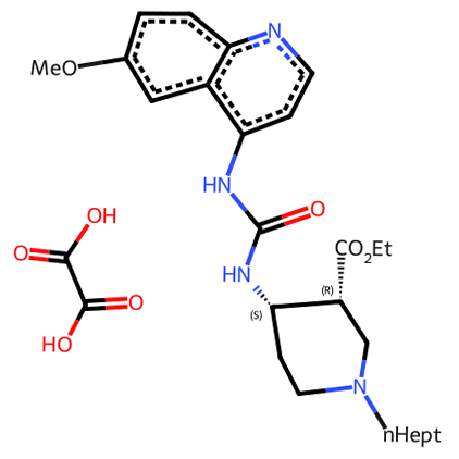 CCCCCCCN1CC[C@H](NC(=O)Nc2ccnc3ccc(OC)cc23)[C@H](C(=O)OCC)C1.O=C(O)C(=O)O